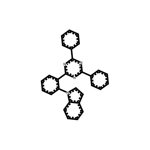 c1ccc(-c2nc(-c3ccccc3)nc(-c3ccccc3-n3ccc4ccccc43)n2)cc1